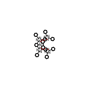 c1ccc(-c2nc(-c3ccccc3)nc(-c3ccc4c(c3)c3cc(-c5nc(-c6ccccc6)nc(-c6ccccc6)n5)ccc3n4-c3c(-c4nc(-c5ccccc5)nc(-c5ccccc5)n4)cccc3-c3nc(-c4ccccc4)nc(-c4ccccc4)n3)n2)cc1